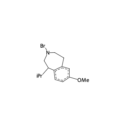 COc1ccc2c(c1)CCN(Br)CC2C(C)C